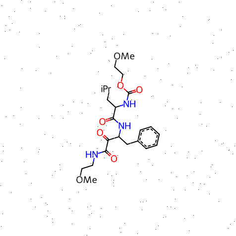 COCCNC(=O)C(=O)C(Cc1ccccc1)NC(=O)C(CC(C)C)NC(=O)OCCOC